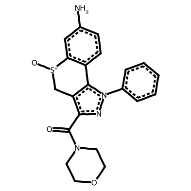 Nc1ccc2c(c1)[S+]([O-])Cc1c(C(=O)N3CCOCC3)nn(-c3ccccc3)c1-2